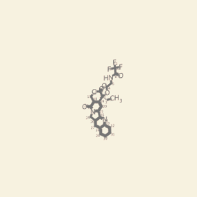 CC[C@@]1(OC(=O)CNC(=O)C(F)(F)F)C(=O)OCc2c1cc1n(c2=O)Cc2cc3ccccc3nc2-1